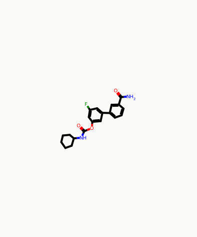 NC(=O)c1cccc(-c2cc(F)cc(OC(=O)NC3CCCCC3)c2)c1